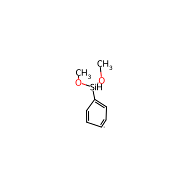 CO[SiH](OC)c1cc[c]cc1